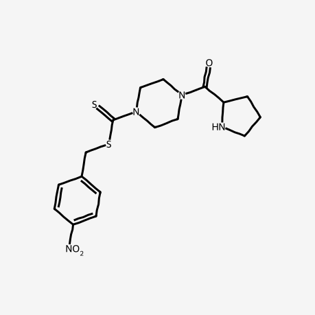 O=C(C1CCCN1)N1CCN(C(=S)SCc2ccc([N+](=O)[O-])cc2)CC1